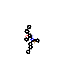 c1ccc(-c2cccc(-c3ccc(C4=NC(c5ccc6cc(-c7ccccc7)ccc6c5)=C5Sc6ccccc6C5N4)c4c3oc3ccccc34)c2)cc1